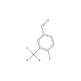 O=[C]c1ccc(F)c(C(F)(F)F)c1